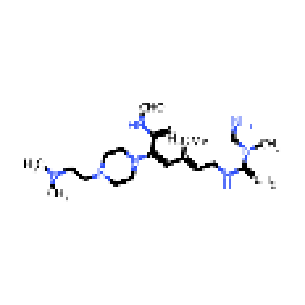 C=C(NC=O)/C(=C\C(=C\CNC(=C)N(C)CN)OC)N1CCN(CCN(C)C)CC1